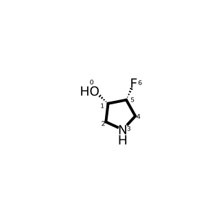 O[C@H]1CNC[C@H]1F